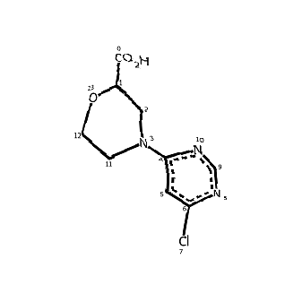 O=C(O)C1CN(c2cc(Cl)ncn2)CCO1